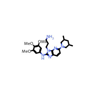 COc1cc(Nc2nc3ccc(N4CC(C)CC(C)C4)nc3n2CCCN)cc(OC)c1OC